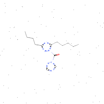 CCCCCc1nc(CCCC)nn1C(=O)n1cncn1